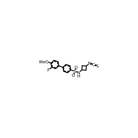 COc1ccc(-c2ccc(S(=O)(=O)NC3CC(N=C=S)C3)cc2)cc1F